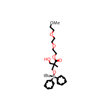 COCCOCCOCCOC(=O)C(C)(CO)CO[Si](c1ccccc1)(c1ccccc1)C(C)(C)C